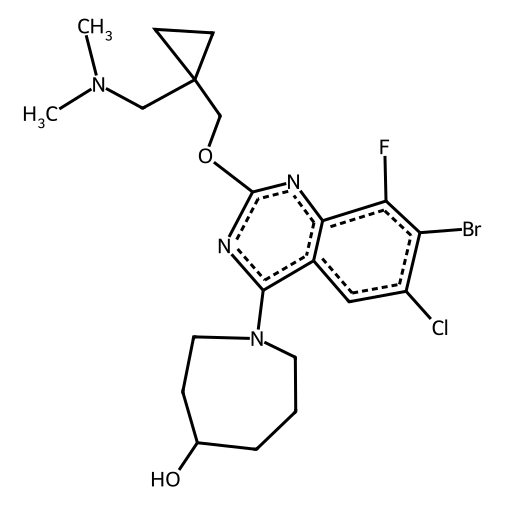 CN(C)CC1(COc2nc(N3CCCC(O)CC3)c3cc(Cl)c(Br)c(F)c3n2)CC1